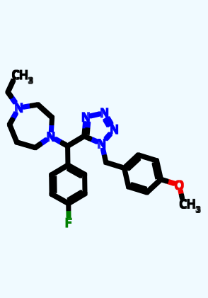 CCN1CCCN(C(c2ccc(F)cc2)c2nnnn2Cc2ccc(OC)cc2)CC1